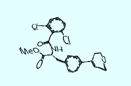 COC(=O)[C@H](Cc1ccc(C2=CCOCC2)cc1)NC(=O)c1c(Cl)cccc1Cl